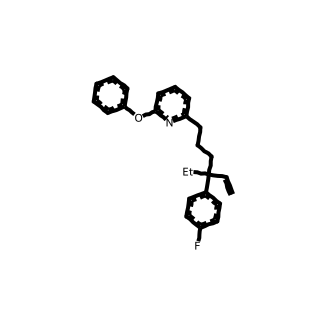 C=CC(CC)(CCCc1cccc(Oc2ccccc2)n1)c1ccc(F)cc1